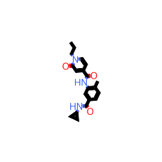 CCCn1ccc(C(=O)Nc2cc(C(=O)NC3CC3)ccc2C)cc1=O